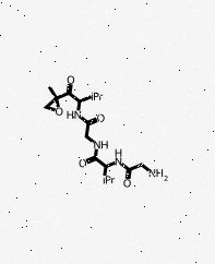 CC(C)C(NC(=O)CN)C(=O)NCC(=O)NC(C(=O)C1(C)CO1)C(C)C